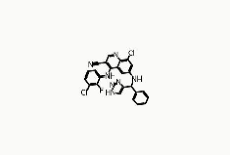 N#Cc1cnc2c(Cl)cc(NC(c3ccccc3)c3c[nH]nn3)cc2c1Nc1cccc(Cl)c1F